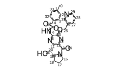 Cc1ccc(S(=O)(=O)Nc2ncc(C(=O)N3CCC[C@@H]3CO)nc2OCc2cccnc2)cc1